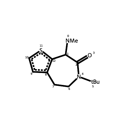 CNC1C(=O)N(C(C)(C)C)CCc2ccsc21